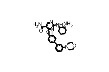 NC(=O)c1cnc(N[C@@H]2CCCC[C@@H]2N)nc1Nc1ccc(-c2cccc(N3CCOCC3)c2)cc1